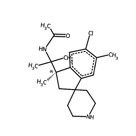 CC(=O)NC(C)(C)[C@]1(C)CC2(CCNCC2)c2cc(C)c(Cl)cc21